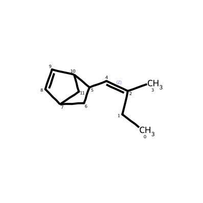 CC/C(C)=C\C1CC2C=CC1C2